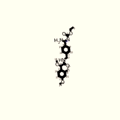 CCOC(=O)/N=C(\N)c1ccc(CNC(=O)C(OC)c2ccc(OC)cc2F)cc1